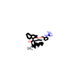 C=C/C=c1/cc(C=O)c(O)c(-c2c(OCc3ccccc3NC(=N)N)ccc3ccccc23)/c1=C/C